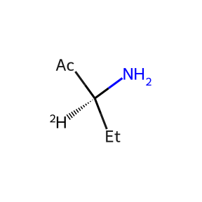 [2H][C@](N)(CC)C(C)=O